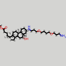 COC(=O)CC[C@@H](C)[C@H]1CCC2C3C[C@@H](O)[C@@H]4C[C@@H](NCCCOCCCCOCCCN)CC[C@]4(C)C3CC[C@@]21C